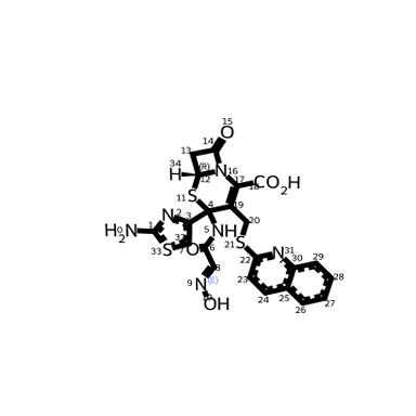 Nc1nc(C2(NC(=O)/C=N/O)S[C@@H]3CC(=O)N3C(C(=O)O)=C2CSc2ccc3ccccc3n2)cs1